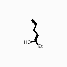 C=CCC=C(O)CC